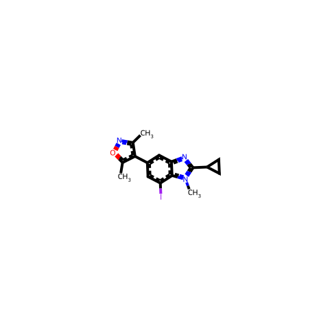 Cc1noc(C)c1-c1cc(I)c2c(c1)nc(C1CC1)n2C